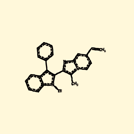 C=Cc1ccn2c(C)c(-c3c(-c4ccccc4)c4ccccc4n3CC)nc2c1